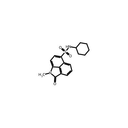 CN1C(=O)c2cccc3c(S(=O)(=O)NC4CCCCC4)ccc1c23